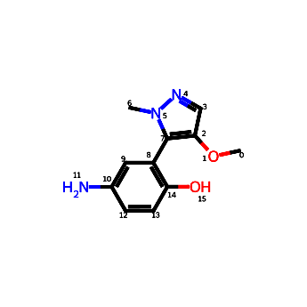 COc1cnn(C)c1-c1cc(N)ccc1O